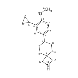 COc1ccc(C2CCC3(CC2)CNC3)cc1C1CC1